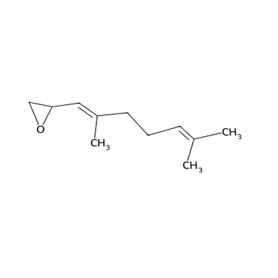 CC(C)=CCC/C(C)=C/C1CO1